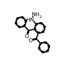 NNc1cccc(C(=O)c2ccccc2)c1C(=O)c1ccccc1